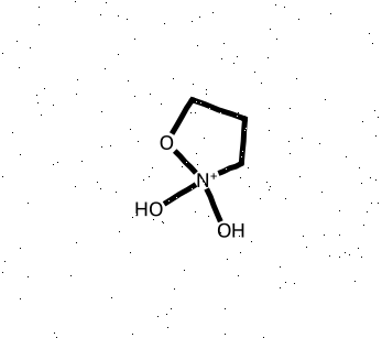 O[N+]1(O)CCCO1